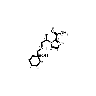 CC(CNCC1(O)CCCCC1)n1c[c]nc1C(N)=O